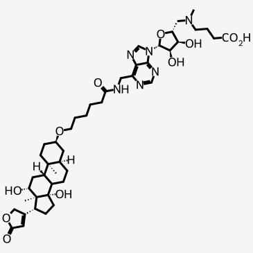 CN(CCCC(=O)O)C[C@H]1O[C@@H](n2cnc3c(CNC(=O)CCCCCO[C@@H]4CC[C@@]5(C)[C@H](CCC6[C@@H]5C[C@@H](O)[C@]5(C)[C@@H](C7=CC(=O)OC7)CC[C@]65O)C4)ncnc32)[C@H](O)[C@@H]1O